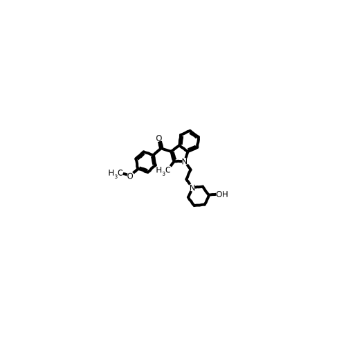 COc1ccc(C(=O)c2c(C)n(CCN3CCCC(O)C3)c3ccccc23)cc1